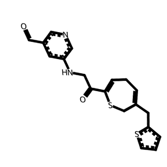 O=Cc1cncc(NCC(=O)C2=CCC=C(Cc3cccs3)CS2)c1